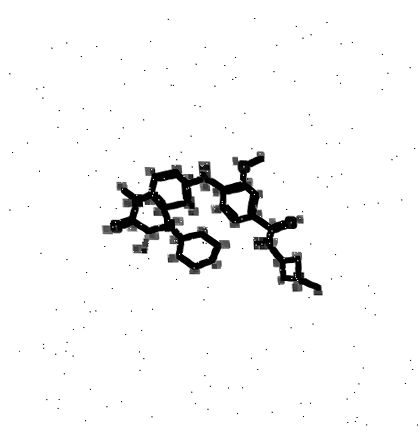 COc1cc(C(=O)NC2CN(C)C2)ccc1Nc1ccc2c(n1)N(C1CCCCC1)[C@H](C)C(=O)N2C